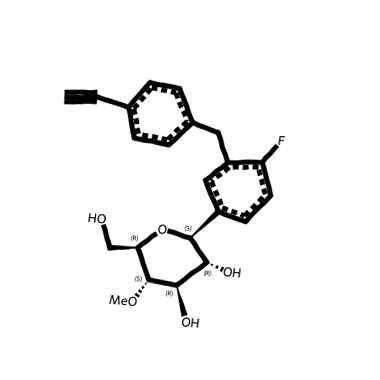 C#Cc1ccc(Cc2cc([C@@H]3O[C@H](CO)[C@@H](OC)[C@H](O)[C@H]3O)ccc2F)cc1